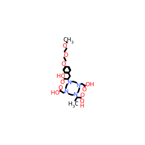 CCOCCOCCOc1ccc(CC(C(=O)O)N2CCN(CC(=O)O)CCN(C(CC)C(=O)O)CCN(CC(=O)O)CC2)cc1